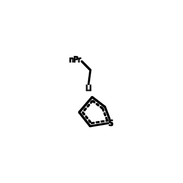 [Li][CH2]CCC.c1ccsc1